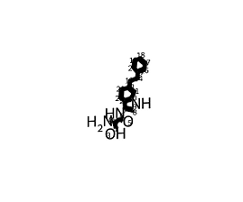 N[C@H](CO)C(=O)Nc1c[nH]c2cc(CCc3ccccc3)ccc12